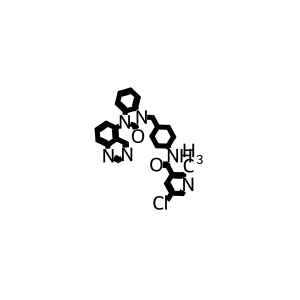 Cc1ncc(Cl)cc1C(=O)NC1CCC(Cn2c(=O)n(-c3cccc4ncncc34)c3ccccc32)CC1